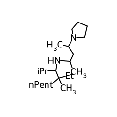 CCCCCC(C)(CC)C(NC(C)CC(C)N1CCCC1)C(C)C